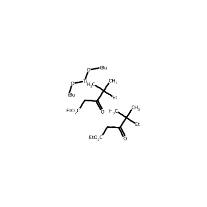 CC(C)(C)[O][Ti][O]C(C)(C)C.CCOC(=O)CC(=O)C(C)(C)CC.CCOC(=O)CC(=O)C(C)(C)CC